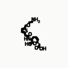 NCCOCc1ccc(CC(=O)N[C@H]2CC=C[C@H](CC(=O)O)OB2O)s1